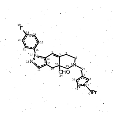 CC(C)n1cc(SN2CCC3=Cc4c(cnn4-c4ccc(F)cc4)CC3(C=O)C2)cn1